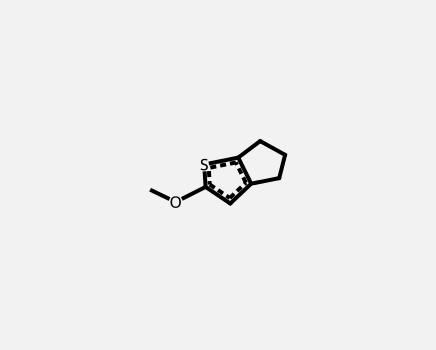 COc1cc2c(s1)CCC2